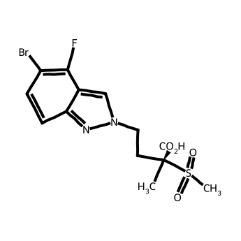 C[C@@](CCn1cc2c(F)c(Br)ccc2n1)(C(=O)O)S(C)(=O)=O